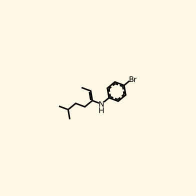 CC=C(CCC(C)C)Nc1ccc(Br)cc1